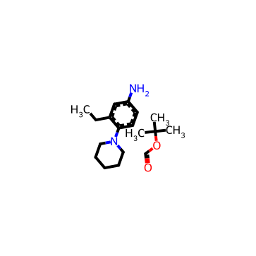 CC(C)(C)OC=O.CCc1cc(N)ccc1N1CCCCC1